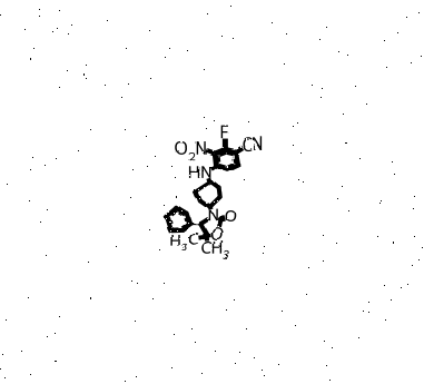 CC1(C)OC(=O)N(C2CCC(Nc3ccc(C#N)c(F)c3[N+](=O)[O-])CC2)[C@H]1c1ccccc1